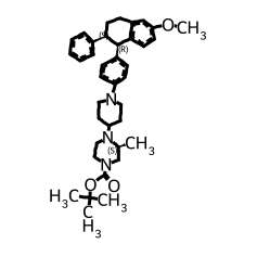 COc1ccc2c(c1)CC[C@H](c1ccccc1)[C@@H]2c1ccc(N2CCC(N3CCN(C(=O)OC(C)(C)C)C[C@@H]3C)CC2)cc1